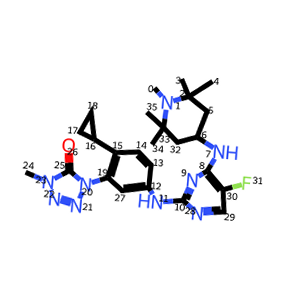 CN1C(C)(C)CC(Nc2nc(Nc3ccc(C4CC4)c(-n4nnn(C)c4=O)c3)ncc2F)CC1(C)C